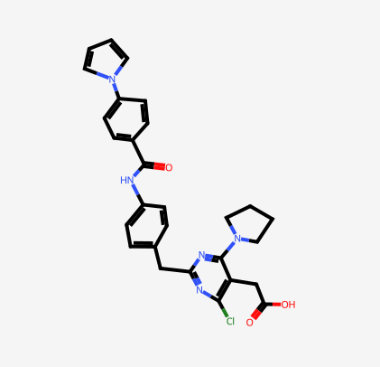 O=C(O)Cc1c(Cl)nc(Cc2ccc(NC(=O)c3ccc(-n4cccc4)cc3)cc2)nc1N1CCCC1